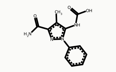 Cc1c(C(N)=O)nn(-c2ccccc2)c1NC(=O)O